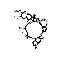 [2H]C([2H])([2H])C1(c2cccc(CC(C)C(=O)OC)c2F)CCCC(C)(C)CS(=O)(=O)CCc2c(c(F)cc3[nH]ccc23)Oc2ccc(F)c(c2)-c2nc1nn2C